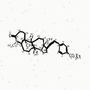 CCOC(=O)c1ccc(C=C2CC[C@H]3[C@@H]4CCC5N(C)C(=O)CC[C@]5(C)[C@@H]4CC[C@]23C)cc1